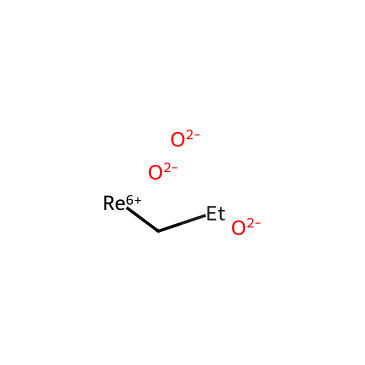 CC[CH2][Re+6].[O-2].[O-2].[O-2]